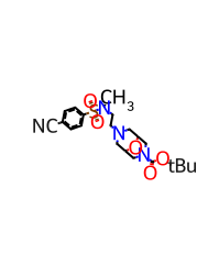 CN(CCN1CC2CN(C(=O)OC(C)(C)C)CC(C1)O2)S(=O)(=O)c1ccc(C#N)cc1